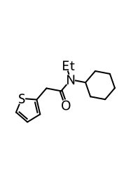 CCN(C(=O)Cc1cccs1)C1CCCCC1